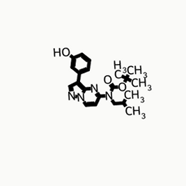 CC(C)CN(C(=O)OC(C)(C)C)c1ccn2ncc(-c3cccc(O)c3)c2n1